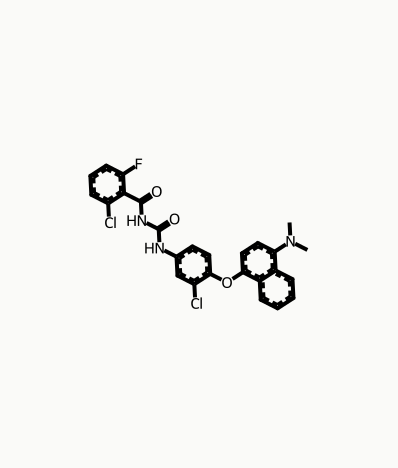 CN(C)c1ccc(Oc2ccc(NC(=O)NC(=O)c3c(F)cccc3Cl)cc2Cl)c2ccccc12